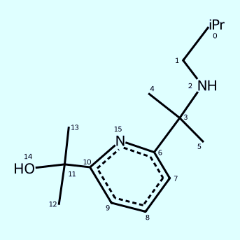 CC(C)CNC(C)(C)c1cccc(C(C)(C)O)n1